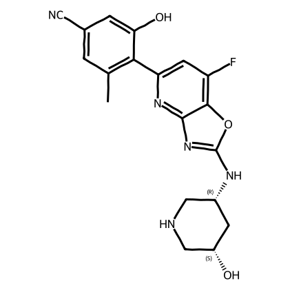 Cc1cc(C#N)cc(O)c1-c1cc(F)c2oc(N[C@H]3CNC[C@@H](O)C3)nc2n1